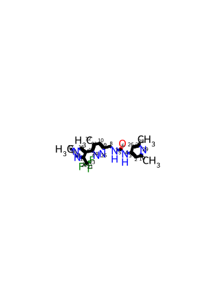 Cc1cc(NC(=O)NCc2cc(C)c(-c3cn(C)nc3C(F)(F)F)nn2)cc(C)n1